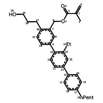 C=C(C)C(=O)OCc1cc(-c2ccc(-c3ccc(CCCCC)cc3)cc2CC)ccc1CCCO